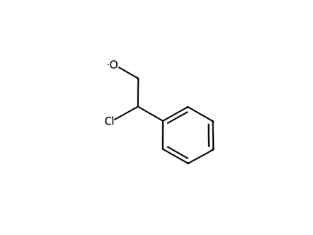 [O]CC(Cl)c1ccccc1